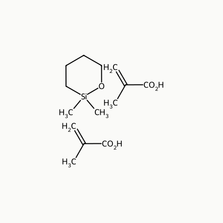 C=C(C)C(=O)O.C=C(C)C(=O)O.C[Si]1(C)CCCCO1